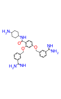 N=C(N)c1cccc(COc2ccc(C(=O)NC3CCC(N)CC3)c(OCc3cccc(C(=N)N)c3)c2)c1